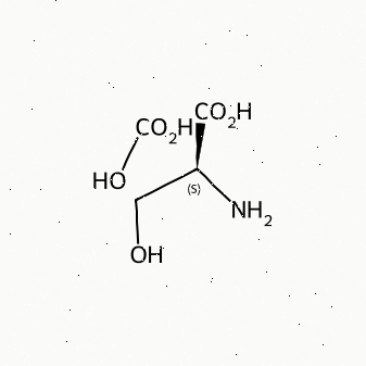 N[C@@H](CO)C(=O)O.O=C(O)O